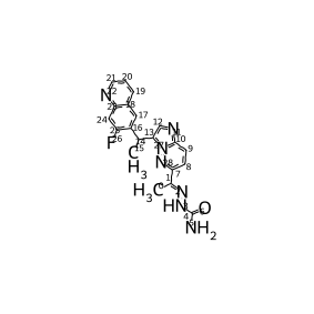 C/C(=N\NC(N)=O)c1ccc2ncc(C(C)c3cc4cccnc4cc3F)n2n1